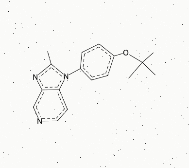 Cc1nc2cnccc2n1-c1ccc(OC(C)(C)C)cc1